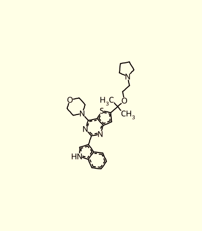 CC(C)(OCCN1CCCC1)c1cc2nc(-c3c[nH]c4ccccc34)nc(N3CCOCC3)c2s1